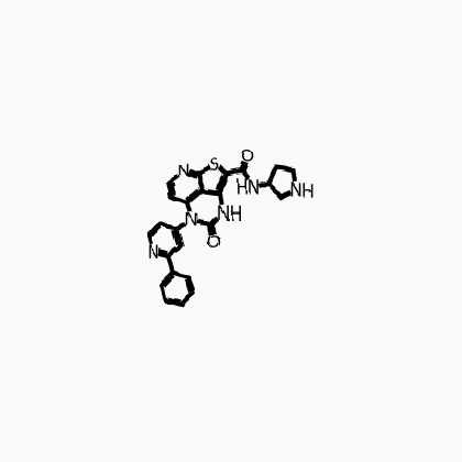 O=C(NC1CCNC1)c1sc2nccc3c2c1NC(=O)N3c1ccnc(-c2ccccc2)c1